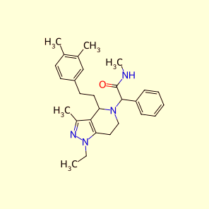 CCn1nc(C)c2c1CCN(C(C(=O)NC)c1ccccc1)C2CCc1ccc(C)c(C)c1